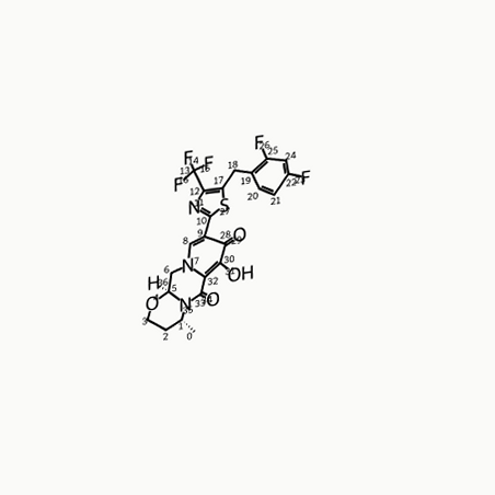 C[C@@H]1CCO[C@H]2Cn3cc(-c4nc(C(F)(F)F)c(Cc5ccc(F)cc5F)s4)c(=O)c(O)c3C(=O)N12